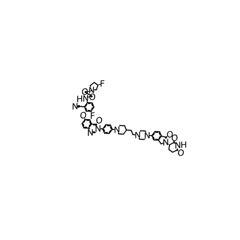 N#Cc1c(NS(=O)(=O)N2CC[C@@H](F)C2)ccc(F)c1Oc1ccc2ncn(-c3ccc(N4CCC(CCN5CCN(c6ccc7c(c6)CN([C@H]6CCC(=O)NC6=O)C7=O)CC5)CC4)cc3)c(=O)c2c1